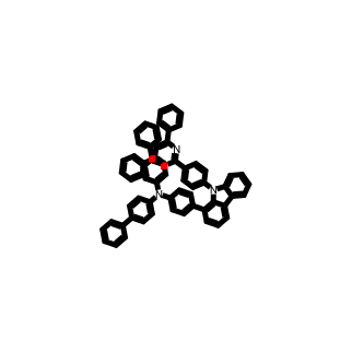 c1ccc(-c2ccc(N(c3ccc(-c4ccccc4)cc3)c3ccc(-c4cccc5c6ccccc6n(-c6ccc(-c7nc(-c8ccccc8)cc(-c8ccccc8)n7)cc6)c45)cc3)cc2)cc1